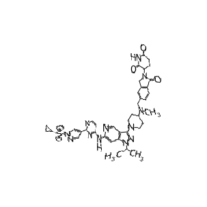 CC(C)n1nc(N2CCC(N(C)Cc3ccc4c(c3)CN(C3CCC(=O)NC3=O)C4=O)CC2)c2cnc(Nc3ccnc(-c4cnn(S(=O)(=O)C5CC5)c4)n3)cc21